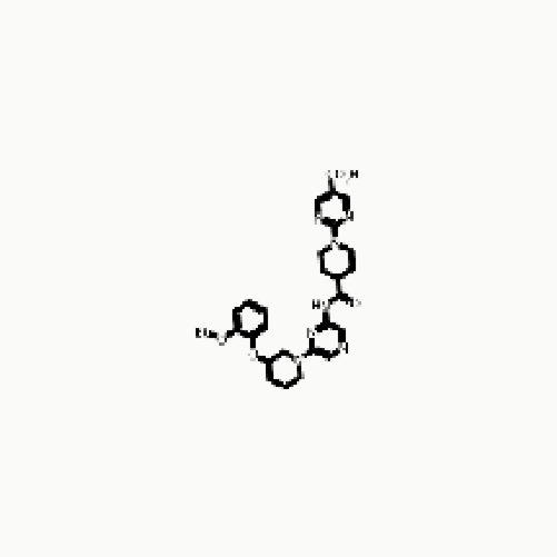 CCOc1ccccc1OC1CCCN(c2cncc(NC(=O)C3CCN(c4ncc(C(=O)O)cn4)CC3)n2)C1